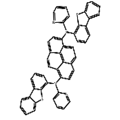 c1ccc(N(c2ccc3ccc4c(N(c5ccccn5)c5cccc6c5sc5ccccc56)ccc5ccc2c3c54)c2cccc3c2sc2ccccc23)nc1